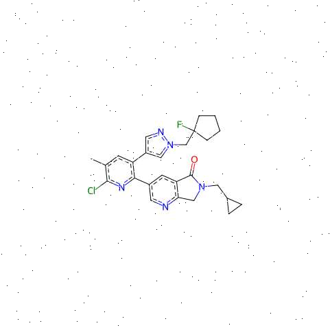 Cc1cc(-c2cnn(CC3(F)CCCC3)c2)c(-c2cnc3c(c2)C(=O)N(CC2CC2)C3)nc1Cl